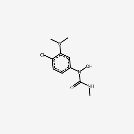 CNC(=O)N(O)c1ccc(Cl)c(N(C)C)c1